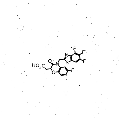 O=C(O)CC1Oc2ccc(F)cc2N(Cc2nc3c(F)c(F)c(F)cc3s2)C1=O